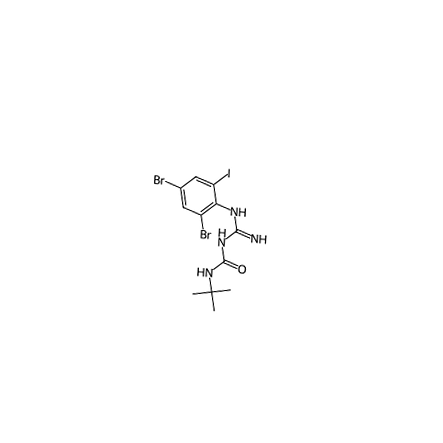 CC(C)(C)NC(=O)NC(=N)Nc1c(Br)cc(Br)cc1I